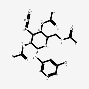 CC(=O)OCC1O[C@H](Sc2cncc(Cl)c2)[C@@H](OC(C)=O)C(N=[N+]=[N-])[C@H]1OC(C)=O